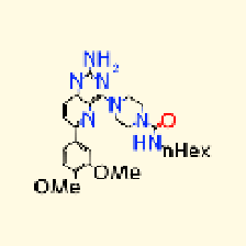 CCCCCCNC(=O)N1CCN(c2nc(N)nc3ccc(-c4ccc(OC)c(OC)c4)nc23)CC1